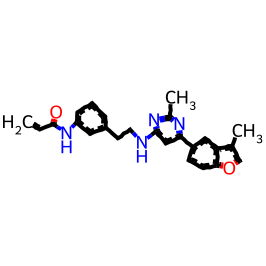 C=CC(=O)Nc1cccc(CCNc2cc(-c3ccc4occ(C)c4c3)nc(C)n2)c1